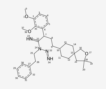 COc1cccc(C(CCC2CCC3(CC2)COC(C)(C)C3)C(=N)N(CCc2ccccc2)N=N)c1OC